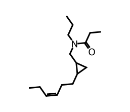 CC/C=C\CCC1CC1CN(CCC)C(=O)CC